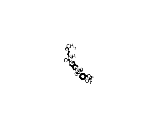 COCCNC(=O)N1CC2=C(C1)CN(S(=O)(=O)c1ccc3c(c1)OC(F)(F)O3)C2